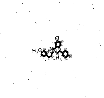 Cc1ccc(CC(C)c2nnc(-c3cccc(Cl)c3)n2CCc2ccc(F)cc2)cc1